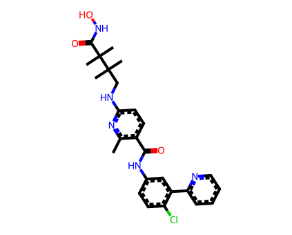 Cc1nc(NCC(C)(C)C(C)(C)C(=O)NO)ccc1C(=O)Nc1ccc(Cl)c(-c2ccccn2)c1